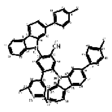 Cc1ccc(-c2ccc3c4ccccc4n(-c4cc(-c5cc(C)nc(C)c5)c(-n5c6ccccc6c6ccc(-c7ccc(C)cc7)cc65)cc4C#N)c3c2)cc1